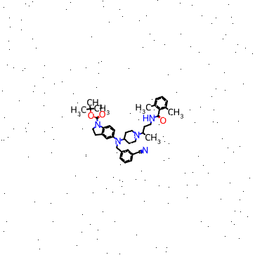 Cc1cccc(C)c1C(=O)NCCC(C)N1CCC(N(Cc2cccc(C#N)c2)c2ccc3c(c2)CCN3C(=O)OC(C)(C)C)CC1